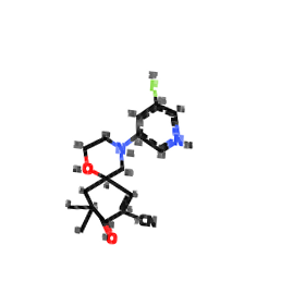 CC1(C)CC2(C=C(C#N)C1=O)CN(c1cncc(F)c1)CCO2